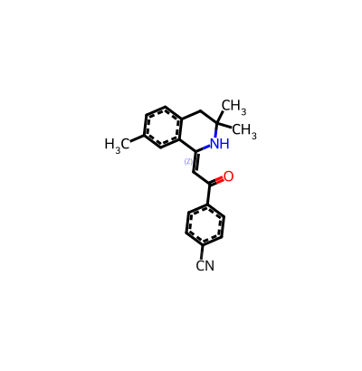 Cc1ccc2c(c1)/C(=C/C(=O)c1ccc(C#N)cc1)NC(C)(C)C2